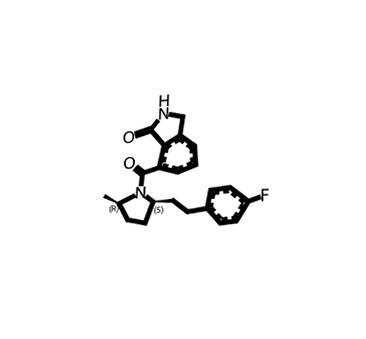 C[C@@H]1CC[C@H](CCc2ccc(F)cc2)N1C(=O)c1cccc2c1C(=O)NC2